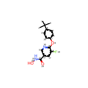 CC(C)(C)c1ccc(Oc2ncc(C(=O)NO)cc2F)cc1